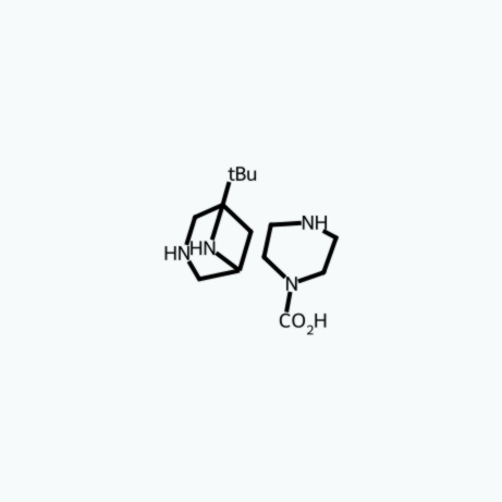 CC(C)(C)C12CNCC(C1)N2.O=C(O)N1CCNCC1